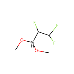 CO[SiH](OC)C(F)C(F)F